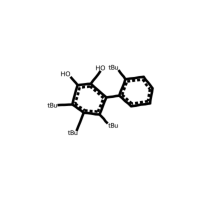 CC(C)(C)c1ccccc1-c1c(O)c(O)c(C(C)(C)C)c(C(C)(C)C)c1C(C)(C)C